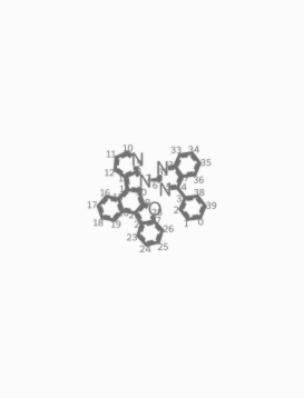 c1ccc(-c2nc(-n3c4ncccc4c4c5ccccc5c5c6ccccc6oc5c43)nc3ccccc23)cc1